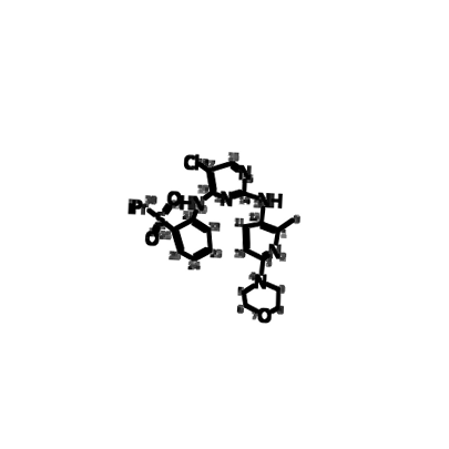 Cc1nc(N2CCOCC2)ccc1Nc1ncc(Cl)c(Nc2ccccc2S(=O)(=O)C(C)C)n1